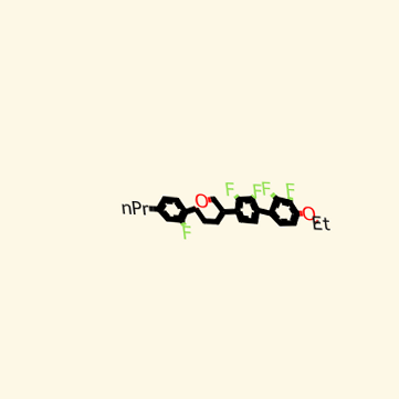 CCCc1ccc(C2CCC(c3ccc(-c4ccc(OCC)c(F)c4F)c(F)c3F)CO2)c(F)c1